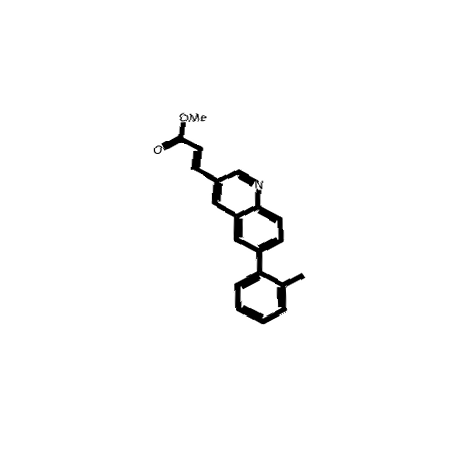 COC(=O)/C=C/c1cnc2ccc(-c3ccccc3C)cc2c1